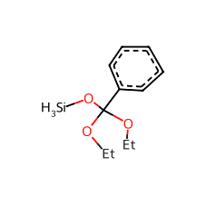 CCOC(O[SiH3])(OCC)c1ccccc1